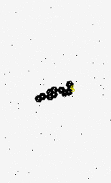 CC1(C)c2cc(-c3ccc4ccc5c(-c6ccc7ccccc7c6)ccc6ccc3c4c65)ccc2-c2c1ccc1sc3ccccc3c21